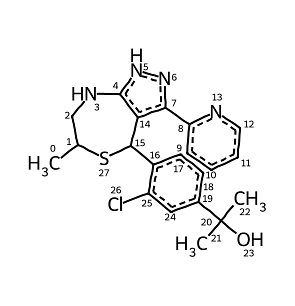 CC1CNc2[nH]nc(-c3ccccn3)c2C(c2ccc(C(C)(C)O)cc2Cl)S1